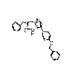 O=C(O)N(Cc1ccccc1)Cc1nnc(-c2ccc(OCc3ccccc3)cc2)s1